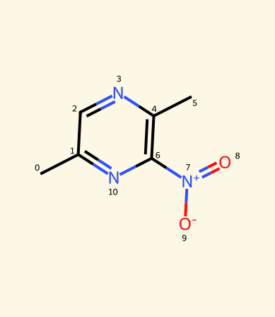 Cc1cnc(C)c([N+](=O)[O-])n1